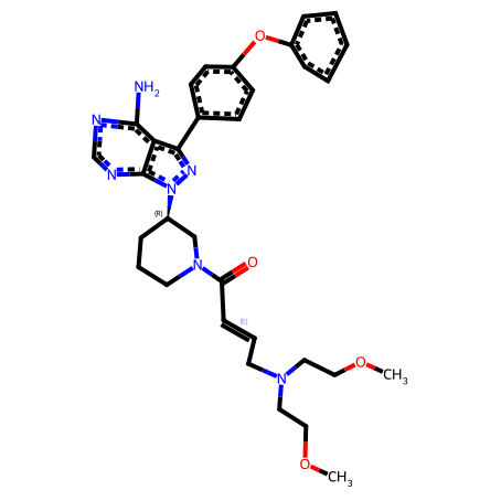 COCCN(C/C=C/C(=O)N1CCC[C@@H](n2nc(-c3ccc(Oc4ccccc4)cc3)c3c(N)ncnc32)C1)CCOC